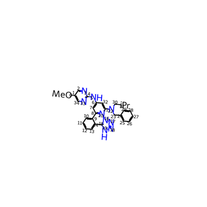 COc1cnc(Nc2cc(-c3ccccc3-c3nnn[nH]3)nc(N(Cc3ccccc3)CC(C)C)c2)nc1